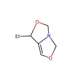 CCC1OCN2COC=C12